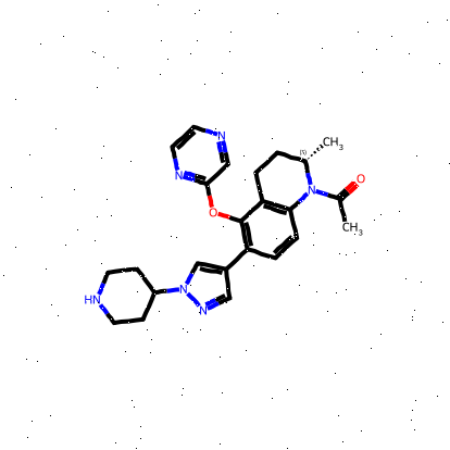 CC(=O)N1c2ccc(-c3cnn(C4CCNCC4)c3)c(Oc3cnccn3)c2CC[C@@H]1C